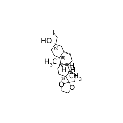 C[C@]12CC[C@@](O)(CI)CC1=CC[C@@H]1[C@@H]2CC[C@@]2(C)[C@H]1CCC21OCCO1